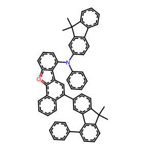 CC1(C)c2ccccc2-c2ccc(N(c3ccccc3)c3cccc4oc5c6ccccc6c(-c6ccc7c(c6)-c6c(-c8ccccc8)cccc6C7(C)C)cc5c34)cc21